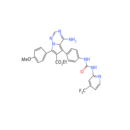 CCOC(=O)c1c(-c2ccc(NC(=O)Nc3cc(C(F)(F)F)ccn3)cc2)c2c(N)ncnn2c1-c1ccc(OC)cc1